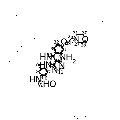 Cc1cc(NC=O)ccc1Nc1ncnc(N)c1C(=N)c1ccc(OCCN2CCOCC2)cc1